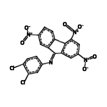 O=[N+]([O-])c1ccc2c(c1)/C(=N\c1ccc(Cl)c(Cl)c1)c1cc([N+](=O)[O-])cc([N+](=O)[O-])c1-2